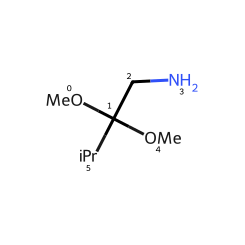 COC(CN)(OC)C(C)C